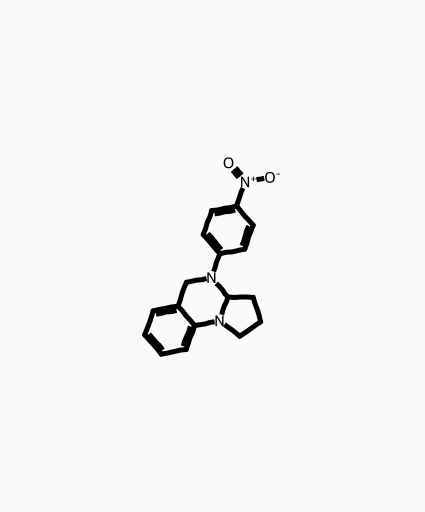 O=[N+]([O-])c1ccc(N2Cc3ccccc3N3CCCC23)cc1